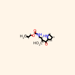 C=CCOC(=O)NCCC(C(=O)O)C(=O)C1CCCN1